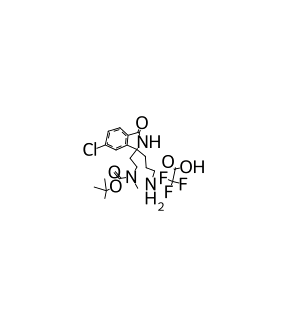 CN(CCC1(CCCN)NC(=O)c2ccc(Cl)cc21)C(=O)OC(C)(C)C.O=C(O)C(F)(F)F